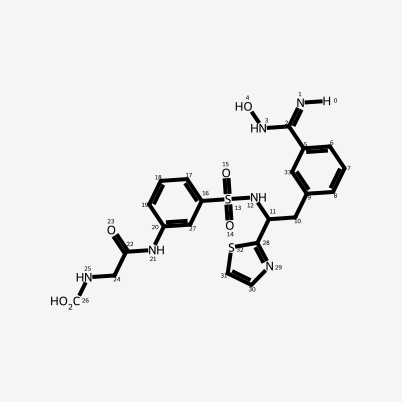 [H]/N=C(/NO)c1cccc(CC(NS(=O)(=O)c2cccc(NC(=O)CNC(=O)O)c2)c2nccs2)c1